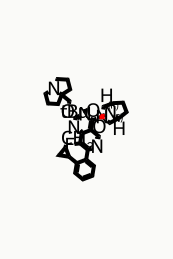 CC1CC1c1ccccc1-c1ncc2c(N3C[C@H]4CC[C@@H](C3)N4C(=O)OC(C)(C)C)nc(OCC34CCCN3CCC4)nc2c1F